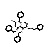 CO[C@H](COCc1ccccc1)[C@H](OCc1ccccc1)[C@H](OCc1ccccc1)[C@H](CCO)OCc1ccccc1